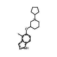 Cc1c(OC2CCCN(C3CCCC3)C2)ccc2[nH]ncc12